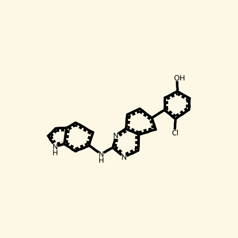 Oc1ccc(Cl)c(-c2ccc3nc(Nc4ccc5cc[nH]c5c4)ncc3c2)c1